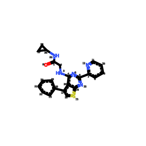 O=C(CNc1nc(-c2ccccn2)nc2scc(-c3ccccc3)c12)NC1CC1